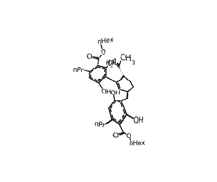 C=C(C)[C@@H]1CCC(Cc2c(O)cc(CCC)c(C(=O)OCCCCCC)c2O)C=C1c1c(O)cc(CCC)c(C(=O)OCCCCCC)c1O